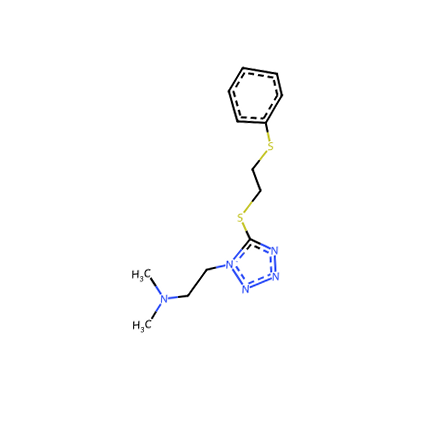 CN(C)CCn1nnnc1SCCSc1ccccc1